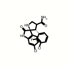 NC(=O)C1CN[C@@]2(C(=O)Nc3cc(Cl)ccc32)[C@H]1c1cccc(Cl)c1F